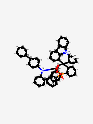 O=P1(c2ccccc2)c2ccccc2C2(c3ccccc3-n3c4ccccc4c4cccc2c43)c2ccc(N(c3ccc(-c4ccccc4)cc3)c3ccccc3-c3ccccc3)cc21